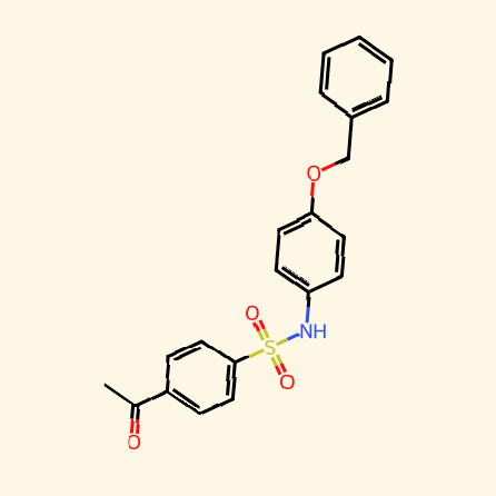 CC(=O)c1ccc(S(=O)(=O)Nc2ccc(OCc3ccccc3)cc2)cc1